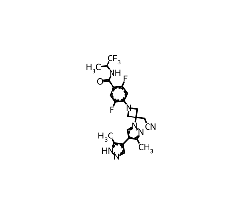 Cc1nn(C2(CC#N)CN(c3cc(F)c(C(=O)N[C@@H](C)C(F)(F)F)cc3F)C2)cc1-c1cn[nH]c1C